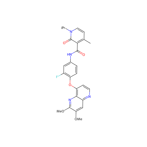 COc1cc2nccc(Oc3ccc(NC(=O)c4c(C)ccn(C(C)C)c4=O)cc3F)c2nc1OC